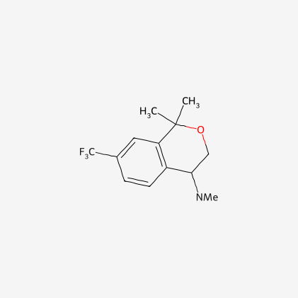 CNC1COC(C)(C)c2cc(C(F)(F)F)ccc21